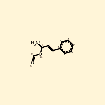 NC(/C=C/c1ccccc1)OC=O